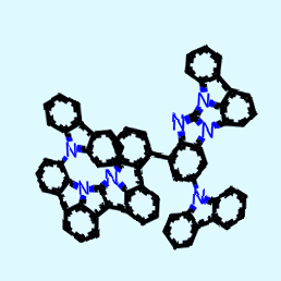 c1ccc2c(c1)c1ccccc1n2-c1cc(-c2cccc3c2c2cccc4c5c6cccc7c8cccc(-n9c%10ccccc%10c%10ccccc%109)c8n(c76)c5n3c24)c2nc3n(c2c1)c1cccc2c4ccccc4n3c21